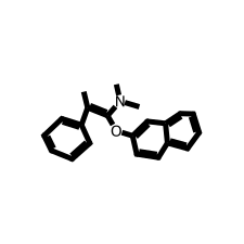 CC(=C(Oc1ccc2ccccc2c1)N(C)C)c1ccccc1